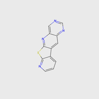 c1cnc2sc3nc4cncnc4cc3c2c1